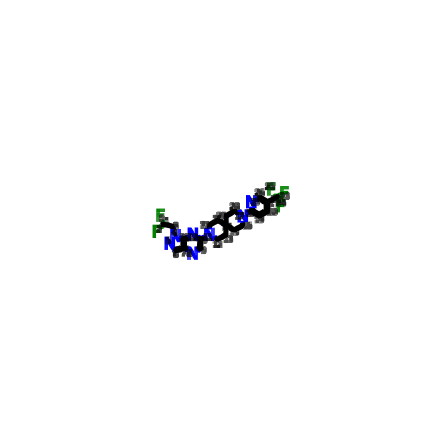 FC(F)Cn1ncc2ncc(N3CCC4(CCN(c5ccc(C(F)(F)F)cn5)CC4)CC3)nc21